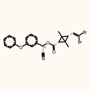 CC12[C@H](C=C(Br)Br)C1(C)[C@@H]2C(=O)O[C@H](C#N)c1cccc(Oc2ccccc2)c1